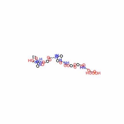 CCOCc1nc2c(NC(=O)OCc3ccc(OC(=O)CCCCn4nnc5c4-c4ccccc4N(C(=O)CCNC(=O)COc4ccc(C(=O)Oc6ccc(COC(=O)NCCCOCC(O)COP(C)(=O)O)cc6)cc4)Cc4ccccc4-5)cc3)nc3ccccc3c2n1CC(C)(C)O